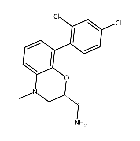 CN1C[C@@H](CN)Oc2c(-c3ccc(Cl)cc3Cl)cccc21